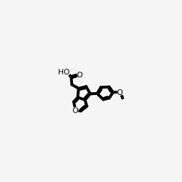 COc1ccc(-c2cc(CC(=O)O)c3coccc2-3)cc1